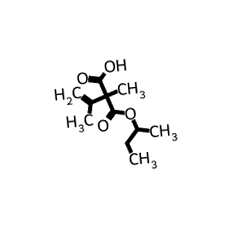 C=C(C)C(C)(C(=O)O)C(=O)OC(C)CC